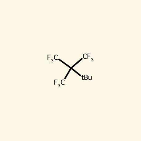 CC(C)(C)C(C(F)(F)F)(C(F)(F)F)C(F)(F)F